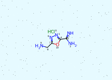 Cl.N=C(N)c1nnc(CN)o1